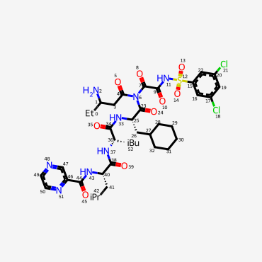 CCC(N)CC(=O)N(C(=O)C(=O)NS(=O)(=O)c1cc(Cl)cc(Cl)c1)C(=O)[C@H](CC1CCCCC1)NC(=O)[C@@H](NC(=O)[C@H](CC(C)C)NC(=O)c1cnccn1)[C@@H](C)CC